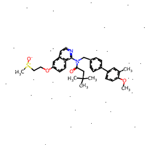 COc1ccc(-c2ccc(CN(C(=O)CC(C)(C)C)c3nccc4cc(OCC[S+](C)[O-])ccc34)cc2)cc1C